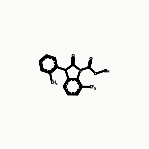 Cc1ccccc1C1C(=O)N(C(=O)OC(C)(C)C)c2c1cccc2C(F)(F)F